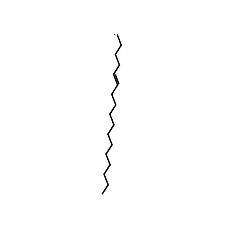 [CH2]CCCC=CCCCCCCCCCCC